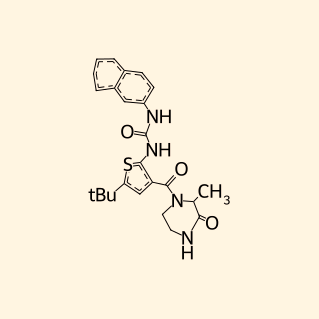 CC1C(=O)NCCN1C(=O)c1cc(C(C)(C)C)sc1NC(=O)Nc1ccc2ccccc2c1